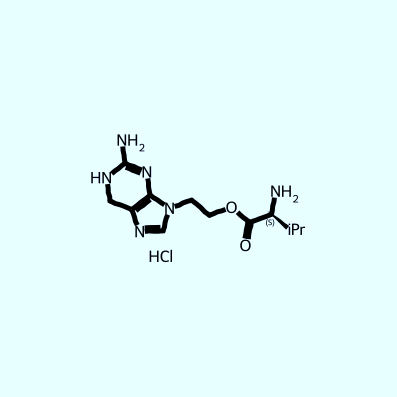 CC(C)[C@H](N)C(=O)OCCn1cnc2c1N=C(N)NC2.Cl